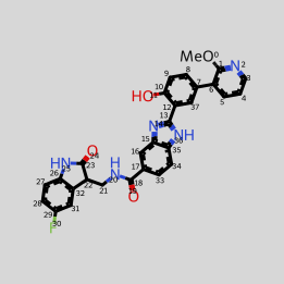 COc1ncccc1-c1ccc(O)c(-c2nc3cc(C(=O)NCC4C(=O)Nc5ccc(F)cc54)ccc3[nH]2)c1